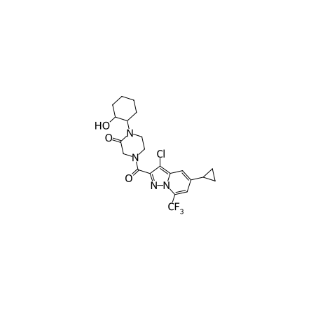 O=C(c1nn2c(C(F)(F)F)cc(C3CC3)cc2c1Cl)N1CCN(C2CCCCC2O)C(=O)C1